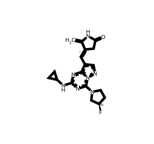 C=C1NC(=O)C/C1=C\c1cnn2c(N3CC[C@@H](F)C3)nc(NC3CC3)nc12